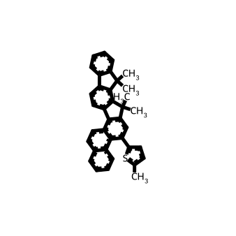 Cc1ccc(-c2cc3c(c4ccc5ccccc5c24)-c2ccc4c(c2C3(C)C)C(C)(C)c2ccccc2-4)s1